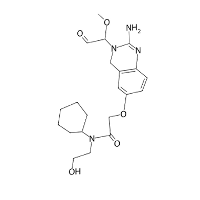 COC(C=O)N1Cc2cc(OCC(=O)N(CCO)C3CCCCC3)ccc2N=C1N